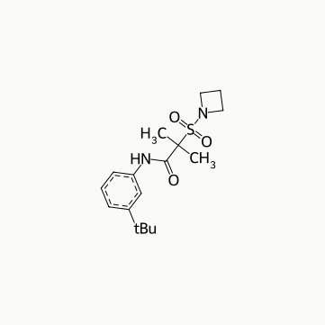 CC(C)(C)c1cccc(NC(=O)C(C)(C)S(=O)(=O)N2CCC2)c1